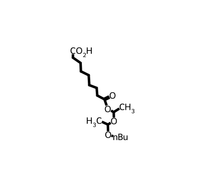 CCCCOC(C)OC(C)OC(=O)CCCCCCCC(=O)O